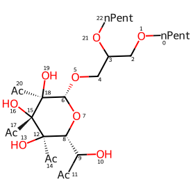 CCCCCOCC(CO[C@@H]1O[C@H](C(O)C(C)=O)[C@](O)(C(C)=O)[C@@](O)(C(C)=O)[C@]1(O)C(C)=O)OCCCCC